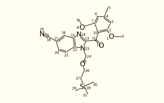 COc1cc(C)cc(OC)c1C(=O)c1nc2cc(C#N)ccc2n1COCC[Si](C)(C)C